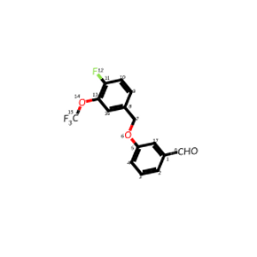 O=Cc1cccc(OCc2ccc(F)c(OC(F)(F)F)c2)c1